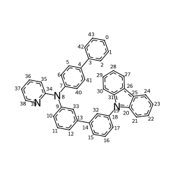 c1ccc(-c2ccc(N(c3cccc(-c4cccc(-n5c6ccccc6c6ccccc65)c4)c3)c3ccccn3)cc2)cc1